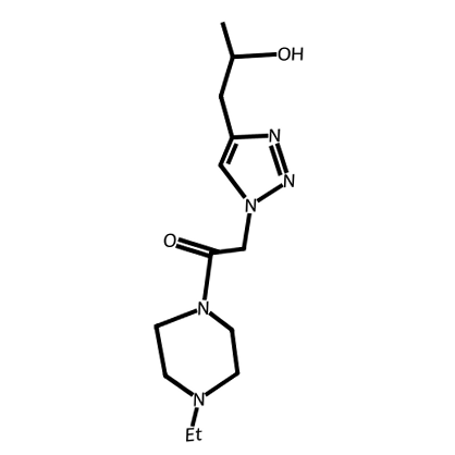 CCN1CCN(C(=O)Cn2cc(CC(C)O)nn2)CC1